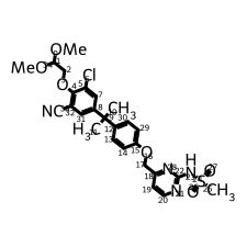 COC(COc1c(Cl)cc(C(C)(C)c2ccc(OCc3ccnc(NS(C)(=O)=O)n3)cc2)cc1C#N)OC